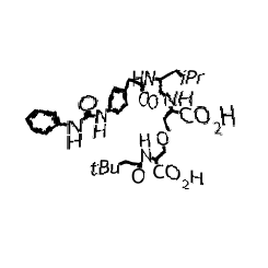 CC(C)CC(NC(=O)Cc1ccc(NC(=O)Nc2ccccc2)cc1)C(=O)NC(CCOCC(NC(=O)CC(C)(C)C)C(=O)O)C(=O)O